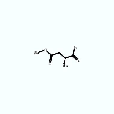 CCC(=O)[C@H](CC(=O)OC(C)(C)C)C(C)(C)C